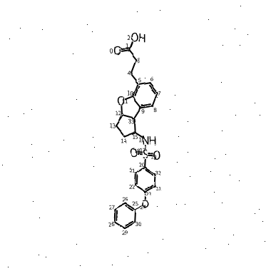 O=C(O)CCc1cccc2c1OC1CCC(NS(=O)(=O)c3ccc(Oc4ccccc4)cc3)C21